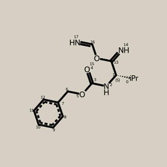 CC(C)[C@H](NC(=O)OCc1ccccc1)C(=N)OC=N